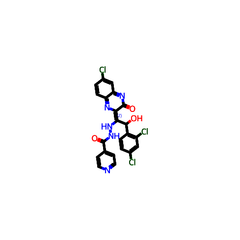 O=C1N=c2cc(Cl)ccc2=N/C1=C(\NNC(=O)c1ccncc1)C(O)c1ccc(Cl)cc1Cl